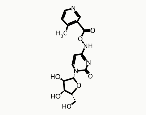 Cc1ccncc1C(=O)ONc1ccn([C@@H]2O[C@H](CO)[C@@H](O)[C@H]2O)c(=O)n1